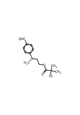 CCC(C)(C)C(=O)OCCN(C)c1ccc(C=O)cc1